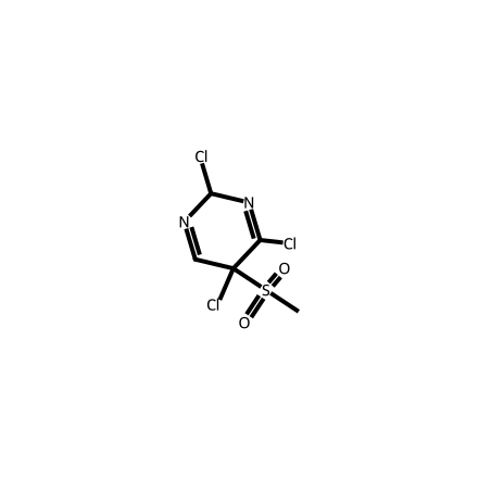 CS(=O)(=O)C1(Cl)C=NC(Cl)N=C1Cl